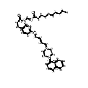 CCCCCCCCCC(=O)OCN1C(=O)CCc2ccc(OCCCCN3CCN(c4cccc5ccccc45)CC3)nc21